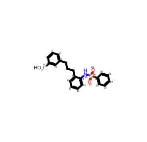 O=C(O)c1cccc(CCCc2ccccc2NS(=O)(=O)c2ccccc2)c1